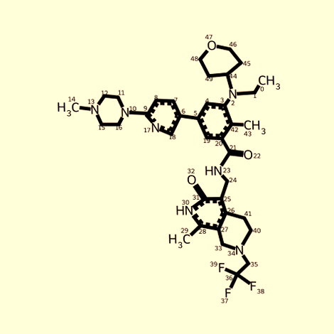 CCN(c1cc(-c2ccc(N3CCN(C)CC3)nc2)cc(C(=O)NCc2c3c(c(C)[nH]c2=O)CN(CC(F)(F)F)CC3)c1C)C1CCOCC1